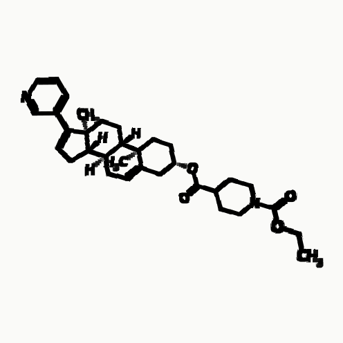 CCOC(=O)N1CCC(C(=O)O[C@H]2CC[C@@]3(C)C(=CC[C@@H]4[C@@H]3CC[C@]3(C)C(c5cccnc5)=CC[C@@H]43)C2)CC1